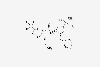 CCOc1ccc(C(F)(F)F)cc1C(=O)/N=c1\sc(C(C)(C)C)cn1CC1CCCO1